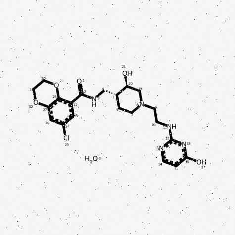 O.O=C(NC[C@H]1CCN(CCNc2nccc(O)n2)C[C@@H]1O)c1cc(Cl)cc2c1OCCO2